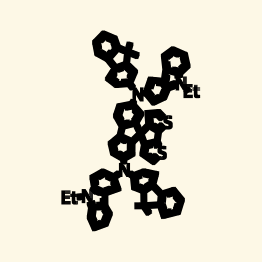 CCn1c2ccccc2c2cc(N(c3ccc4c(c3)C(C)(C)c3ccccc3-4)c3ccc4c(c3)C3(c5cc(N(c6ccc7c(c6)C(C)(C)c6ccccc6-7)c6ccc7c(c6)c6ccccc6n7CC)ccc5-4)c4ccsc4-c4sccc43)ccc21